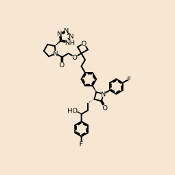 O=C(COC1(CCc2ccc([C@@H]3[C@@H](CC[C@H](O)c4ccc(F)cc4)C(=O)N3c3ccc(F)cc3)cc2)COC1)N1CCC[C@H]1c1nnn[nH]1